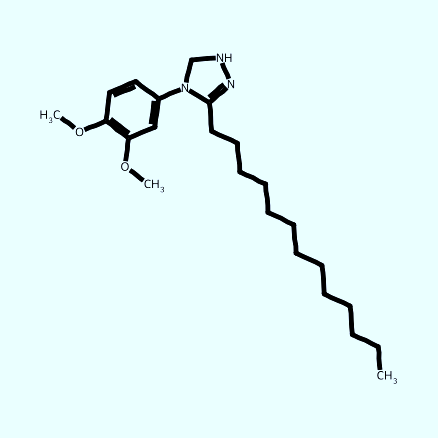 CCCCCCCCCCCCCC1=NNCN1c1ccc(OC)c(OC)c1